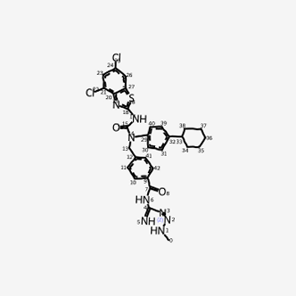 CN/N=N\C(=N)NC(=O)c1ccc(CN(C(=O)Nc2nc3c(Cl)cc(Cl)cc3s2)c2ccc(C3CCCCC3)cc2)cc1